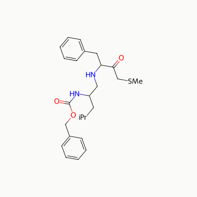 CSCC(=O)C(Cc1ccccc1)NCC(CC(C)C)NC(=O)OCc1ccccc1